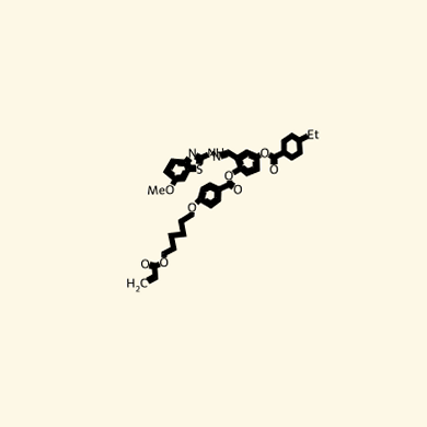 C=CC(=O)OCCCCCCOc1ccc(C(=O)Oc2ccc(OC(=O)C3CCC(CC)CC3)cc2C=NNc2nc3ccc(OC)cc3s2)cc1